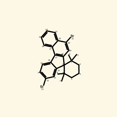 CC1(C)CCCC(C)(C)C12c1cc(Br)ccc1-c1c2cc(Br)c2ccccc12